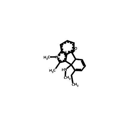 CCC1=CC=CC(C(N)=O)C1(NC)c1c(C)n(C)c2ccccc12